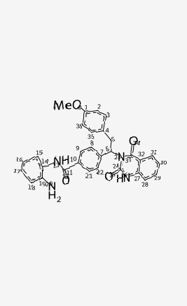 COc1ccc(CC(c2ccc(C(=O)Nc3ccccc3N)cc2)n2c(=O)[nH]c3ccccc3c2=O)cc1